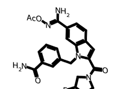 CC(=O)ON=C(N)c1ccc2cc(C(=O)N3CCC(F)C3)n(Cc3cccc(C(N)=O)c3)c2c1